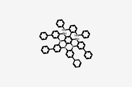 B1c2ccc(-c3ccccc3)cc2N2c3cc(-c4ccccc4)ccc3B3c4ccc(C5C=CC=CC5)cc4N4c5cc(-c6ccccc6)ccc5Bc5c(-c6c(Nc7ccccc7)cccc6Nc6ccccc6)c1c2c3c54